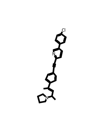 CC(=CC(C)N1CCCC1)c1ccc(C#Cc2ccc(-c3ccc(Cl)cc3)cn2)cc1